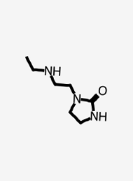 CCNCCN1CCNC1=O